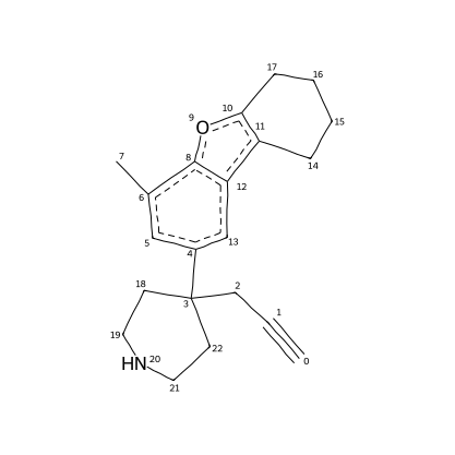 C#CCC1(c2cc(C)c3oc4c(c3c2)CCCC4)CCNCC1